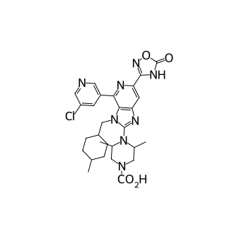 CC1CCC(Cn2c(N3C(C)CN(C(=O)O)CC3C)nc3cc(-c4noc(=O)[nH]4)nc(-c4cncc(Cl)c4)c32)CC1